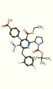 CCOC(=O)c1c(C2CCCN2C(=O)OC(C)(C)C)nc(Cc2ccc(F)cc2F)c([N+](=O)[O-])c1-c1ccc(C(=O)O)cc1